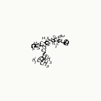 Cc1cc(N(C)c2ccc(-c3cnn(CC45CC6CC(CC(C6)C4)C5)c3C)c(C(=O)OC(C)(C)C)n2)nnc1N(COCC[Si](C)(C)C)c1nc2cccnc2s1